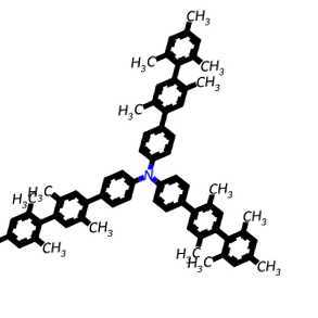 Cc1cc(C)c(-c2cc(C)c(-c3ccc(N(c4ccc(-c5cc(C)c(-c6c(C)cc(C)cc6C)cc5C)cc4)c4ccc(-c5cc(C)c(-c6c(C)cc(C)cc6C)cc5C)cc4)cc3)cc2C)c(C)c1